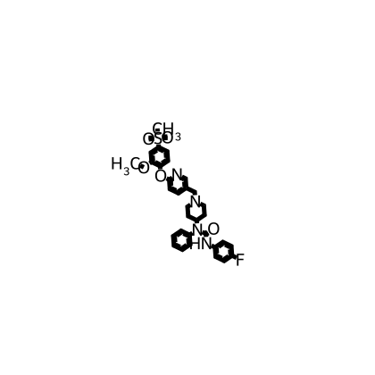 COc1cc(S(C)(=O)=O)ccc1Oc1ccc(CN2CCC(N(C(=O)Nc3ccc(F)cc3)c3ccccc3)CC2)cn1